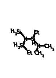 CC[SiH2]N([SiH3])[SiH](CC)N(C)C